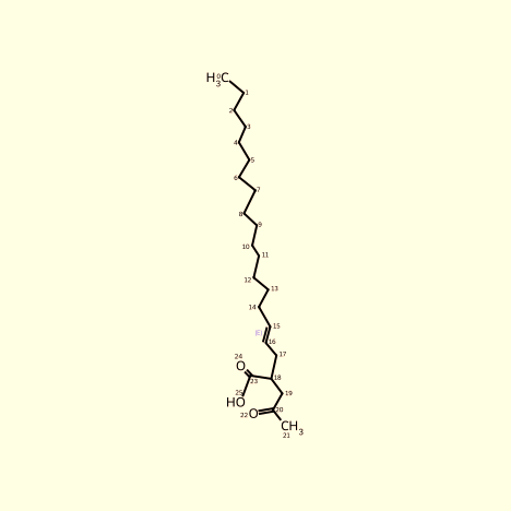 CCCCCCCCCCCCCCC/C=C/CC(CC(C)=O)C(=O)O